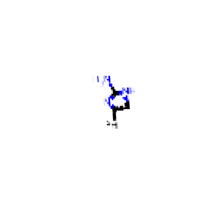 [2H]c1c[nH]c(N)n1